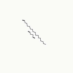 C=CCCC=C.C=CCCCCCCCCCCCCCCCC